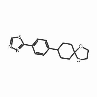 c1nnc(-c2ccc(C3CCC4(CC3)OCCO4)cc2)s1